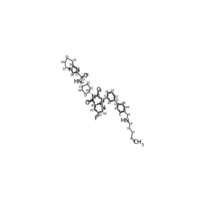 CCCCCNCc1ccc(-c2cccc(-n3c(=O)n([C@H]4CC[C@@H](NC(=O)c5cn6c(n5)CCCC6)CC4)c(=O)c4cc(F)cnc43)c2)cc1